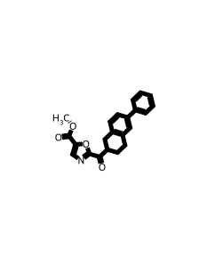 COC(=O)c1cnc(C(=O)C2CCc3cc(-c4ccccc4)ccc3C2)o1